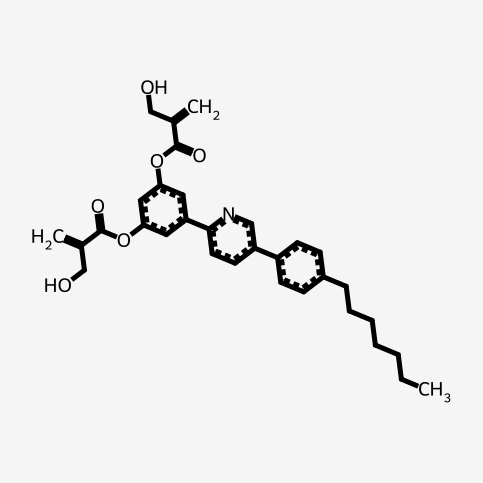 C=C(CO)C(=O)Oc1cc(OC(=O)C(=C)CO)cc(-c2ccc(-c3ccc(CCCCCCC)cc3)cn2)c1